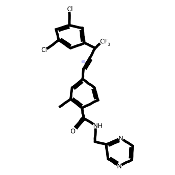 Cc1cc(/C=C/C(c2cc(Cl)cc(Cl)c2)C(F)(F)F)ccc1C(=O)NCc1cnccn1